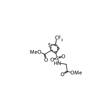 COC(=O)CNS(=O)(=O)c1cc(C(F)(F)F)sc1C(=O)OC